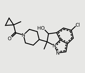 CC1(C(=O)N2CCC(C3(C)C(O)c4cc(Cl)cc5cnn3c45)CC2)CC1